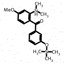 COc1ccc(C(=O)c2cccc(O[Si](C)(C)C)c2)c([SiH](C)C)c1